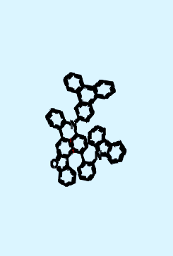 c1ccc(N(c2ccc(-c3ccccc3-n3c4ccccc4c4ccccc43)cc2)c2ccc3c4ccccc4c4ccccc4c3c2)c(-c2ccc3c(c2)oc2ccccc23)c1